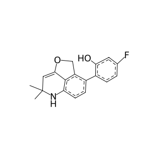 CC1(C)C=C2OCc3c(-c4ccc(F)cc4O)ccc(c32)N1